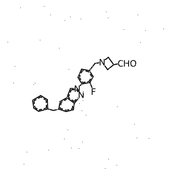 O=CC1CN(Cc2ccc(-n3cc4cc(Cc5ccccc5)ccc4n3)c(F)c2)C1